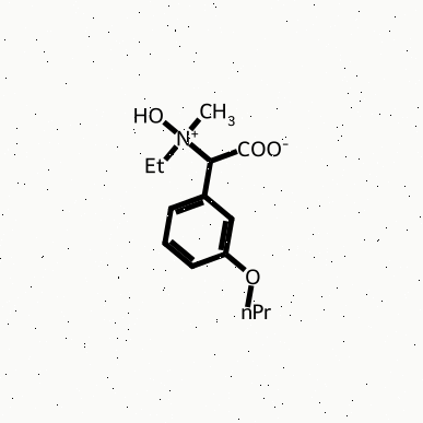 CCCOc1cccc(C(C(=O)[O-])[N+](C)(O)CC)c1